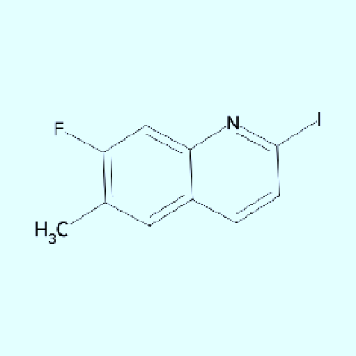 Cc1cc2ccc(I)nc2cc1F